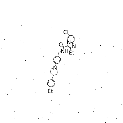 CCc1ccc(C2CCN(c3ccc(CNC(=O)c4c(CC)nc5ccc(Cl)cn45)cc3)CC2)cc1